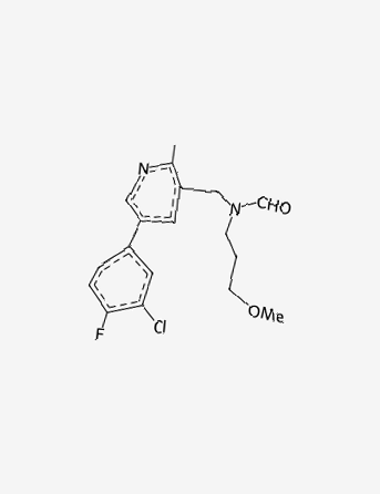 COCCCN(C=O)Cc1cc(-c2ccc(F)c(Cl)c2)cnc1C